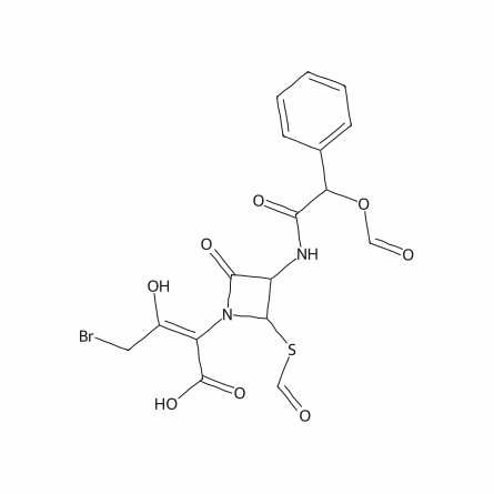 O=COC(C(=O)NC1C(=O)N(C(C(=O)O)=C(O)CBr)C1SC=O)c1ccccc1